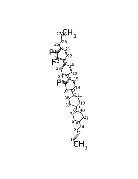 C/C=C/CCC1CCC(C2CCC(c3ccc(-c4ccc(-c5ccc(CCCC)c(F)c5F)cc4)c(F)c3)CC2)CC1